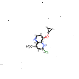 Cc1cc(Cl)nc2c(OC3CC3)ccnc12